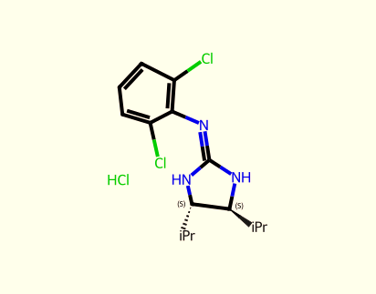 CC(C)[C@@H]1NC(=Nc2c(Cl)cccc2Cl)N[C@H]1C(C)C.Cl